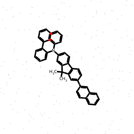 CC1(C)c2cc(-c3ccc4ccccc4c3)ccc2-c2ccc(N(c3ccccc3)c3ccccc3-c3ccccc3)cc21